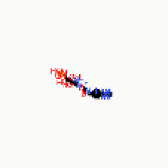 Cc1nnc(-c2ccc(CNC(=O)CO/N=C/[C@H](N)[C@@H](O)[C@H](O)[C@H](O)COS(=O)(=O)O)cc2)nn1